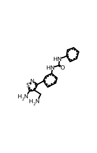 NCc1c(-c2cccc(NC(=O)Nc3ccccc3)c2)nsc1N